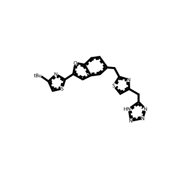 CC(C)(C)c1csc(-c2cc3cc(Cc4nc(Cc5nnn[nH]5)cs4)ccc3o2)n1